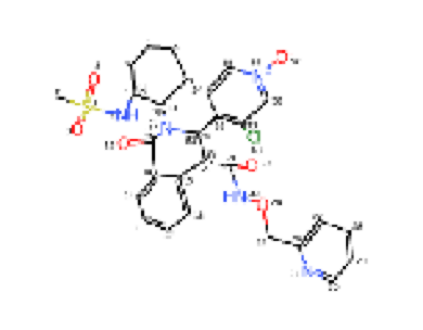 CS(=O)(=O)N[C@H]1CCCC[C@@H]1N1C(=O)c2ccccc2[C@@H](C(=O)NOCc2ccccn2)[C@@H]1c1cc[n+]([O-])cc1Cl